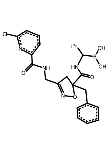 CC(C)C(NC(=O)C1(Cc2ccccc2)CC(CNC(=O)c2cccc(Cl)n2)=NO1)B(O)O